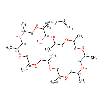 C=CC(=O)O.CC(O)COC(C)COC(C)COC(C)COC(C)COC(C)COC(C)COC(C)COC(C)COC(C)CO